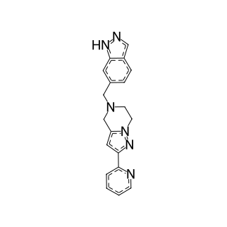 c1ccc(-c2cc3n(n2)CCN(Cc2ccc4cn[nH]c4c2)C3)nc1